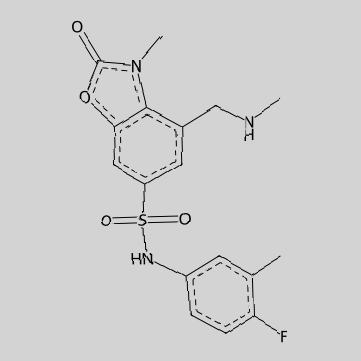 CNCc1cc(S(=O)(=O)Nc2ccc(F)c(C)c2)cc2oc(=O)n(C)c12